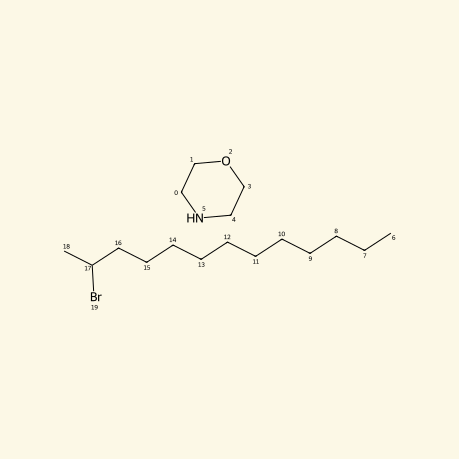 C1COCCN1.CCCCCCCCCCCC(C)Br